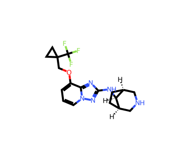 FC(F)(F)C1(COc2cccn3nc(N[C@@H]4[C@@H]5CC[C@H]4CNC5)nc23)CC1